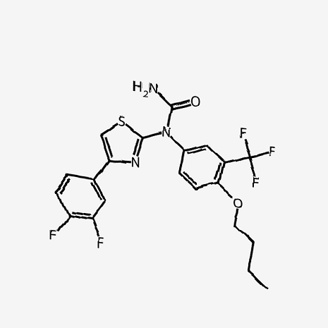 CCCCOc1ccc(N(C(N)=O)c2nc(-c3ccc(F)c(F)c3)cs2)cc1C(F)(F)F